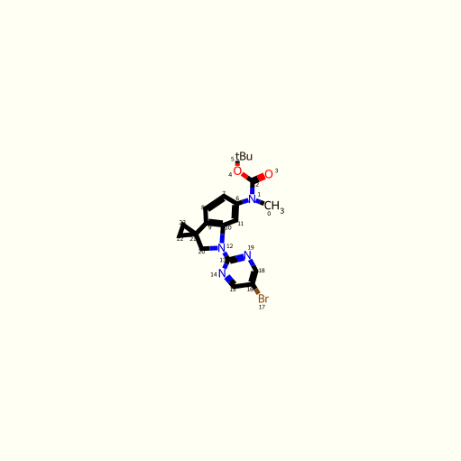 CN(C(=O)OC(C)(C)C)c1ccc2c(c1)N(c1ncc(Br)cn1)CC21CC1